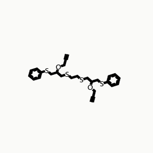 C#CCOC(CSCCSCC(CSc1ccccc1)OCC#C)CSc1ccccc1